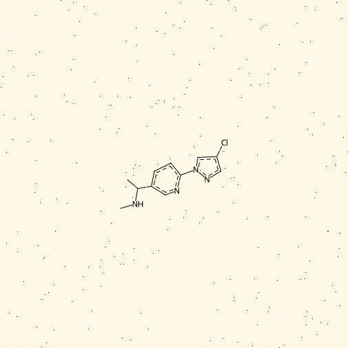 CNC(C)c1ccc(-n2cc(Cl)cn2)nc1